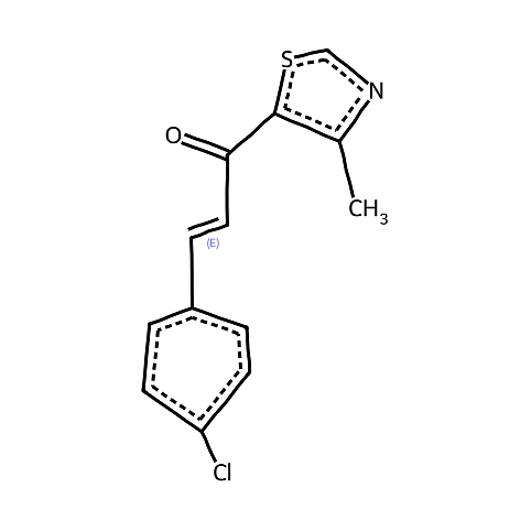 Cc1ncsc1C(=O)/C=C/c1ccc(Cl)cc1